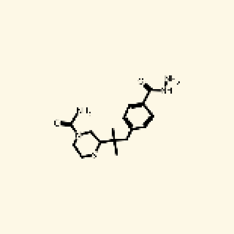 CC(C)(Cc1ccc(C(=O)NN)cc1)C1CN(C(N)=O)CCS1